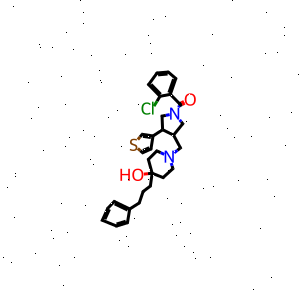 O=C(c1ccccc1Cl)N1CC(CN2CCC(O)(CCCc3ccccc3)CC2)C(c2ccsc2)C1